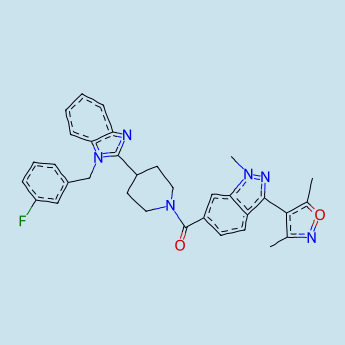 Cc1noc(C)c1-c1nn(C)c2cc(C(=O)N3CCC(c4nc5ccccc5n4Cc4cccc(F)c4)CC3)ccc12